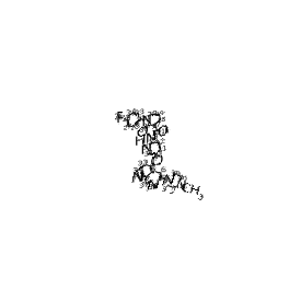 CN1CCN(c2cc3c(Oc4ccc(NC(=O)c5cccn(-c6ccc(F)cc6)c5=O)nc4)ccnc3cn2)CC1